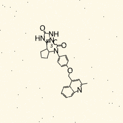 Cc1cc(COc2ccc(N(C(=O)C(F)(F)F)C3CCCC3c3n[nH]c(=O)[nH]3)cc2)c2ccccc2n1